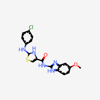 COc1ccc2[nH]c(NC(=O)C3=CSC(Nc4ccc(Cl)cc4)N3)nc2c1